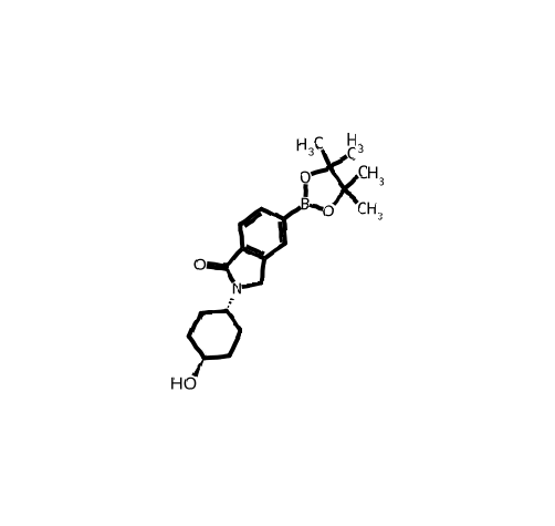 CC1(C)OB(c2ccc3c(c2)CN([C@H]2CC[C@H](O)CC2)C3=O)OC1(C)C